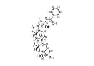 C[C@@H]([C@H]1CC[C@H]2[C@@H]3CC[C@H]4C[C@](O)(C(F)(F)F)CC[C@]4(C)[C@H]3CC[C@]12C)[C@@H](O)C[C@H](O)c1ccccc1